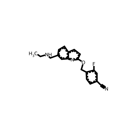 CCNCc1ccc2ccc(OCc3ccc(C#N)cc3F)nc2c1